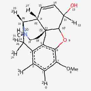 [2H]c1c([2H])c2c3c(c1OC)OC1C([2H])(O)C=C[C@@H]4[C@@]31CCN(C)[C@]4([2H])C2([2H])[2H]